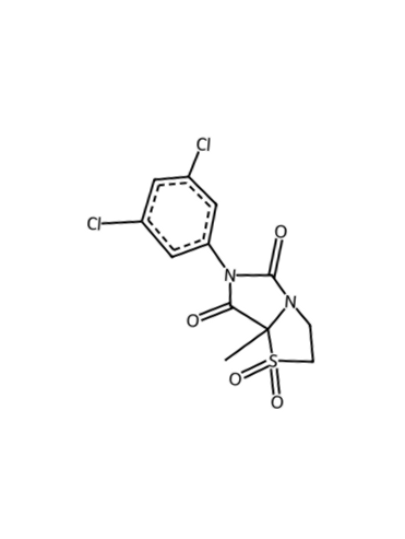 CC12C(=O)N(c3cc(Cl)cc(Cl)c3)C(=O)N1CCS2(=O)=O